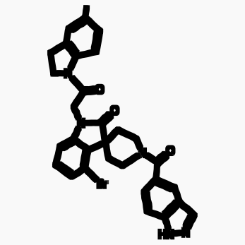 Cc1ccc2c(c1)CCN2C(=O)CN1C(=O)C2(CCN(C(=O)c3ccc4[nH]ncc4c3)CC2)c2c(Br)cccc21